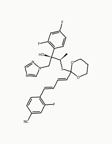 C[C@@H](SC1(/C=C/C=C/c2ccc(C#N)cc2F)OCCCO1)[C@](O)(Cn1cncn1)c1ccc(F)cc1F